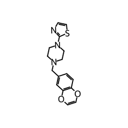 C1=COc2cc(CN3CCN(c4nccs4)CC3)ccc2O1